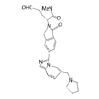 CNC(=O)C(CCC=O)N1Cc2cc(-c3ncc4ccc(CN5CCCC5)cn34)ccc2C1=O